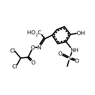 CS(=O)(=O)Nc1cc(C(=NOC(=O)C(Cl)Cl)C(=O)O)ccc1O